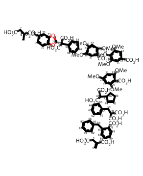 C=C(CC(=O)O)C(=O)O.CC(CC(=O)O)C(=O)O.COc1cc(C(=O)O)cc(OC)c1OC.COc1cc(OC)c(C(=O)O)c(OC)c1.COc1cc(OC)c(C(=O)O)cc1OC.O=C(O)C(C(=O)O)C1C=CCC1.O=C(O)C(C(=O)O)c1ccccc1.O=C(O)C(Cc1ccccc1)C(=O)O.O=C(O)c1ccc2c(c1)OCO2.O=C(O)c1ccccc1Cc1ccccc1